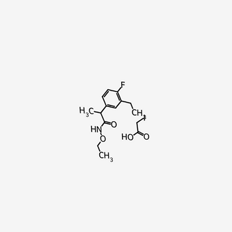 CCONC(=O)C(C)c1ccc(F)c(CC)c1.O=C(O)CI